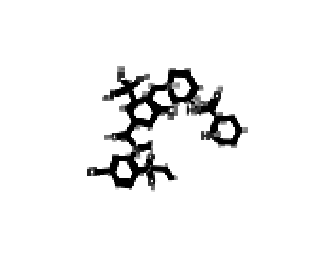 CCS(=O)(=O)c1ccc(Cl)cc1N(C)C(=O)c1cc(Cl)c(CN2CCC[C@H](NC(=O)[C@@H]3CCCCN3)C2)c(C(F)(F)F)c1